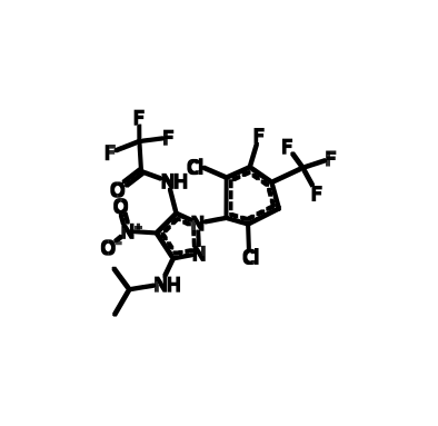 CC(C)Nc1nn(-c2c(Cl)cc(C(F)(F)F)c(F)c2Cl)c(NC(=O)C(F)(F)F)c1[N+](=O)[O-]